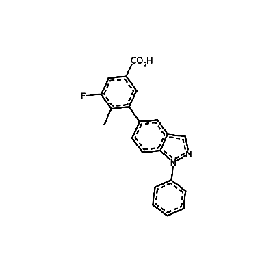 Cc1c(F)cc(C(=O)O)cc1-c1ccc2c(cnn2-c2ccccc2)c1